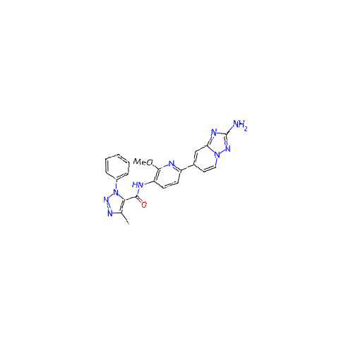 COc1nc(-c2ccn3nc(N)nc3c2)ccc1NC(=O)c1c(C)nnn1-c1ccccc1